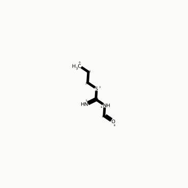 CCCSC(=N)NC=O